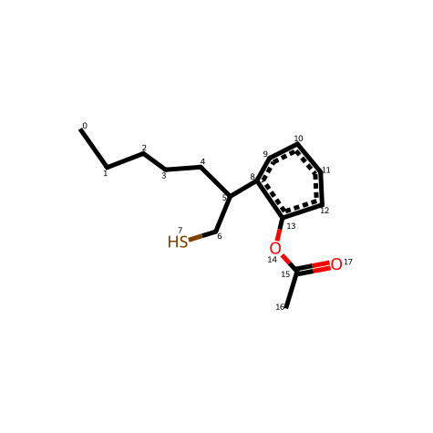 CCCCCC(CS)c1ccccc1OC(C)=O